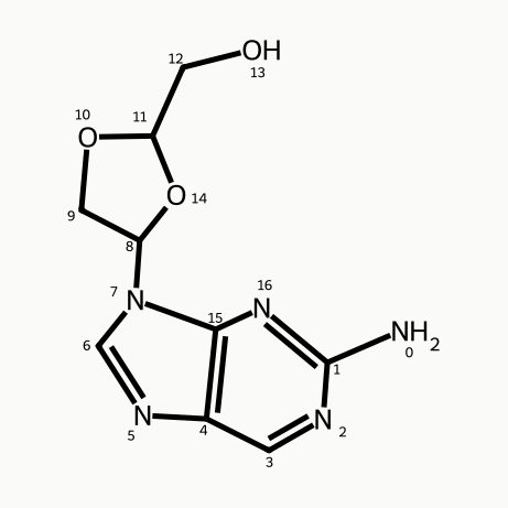 Nc1ncc2ncn(C3COC(CO)O3)c2n1